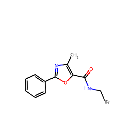 Cc1nc(-c2ccccc2)oc1C(=O)NCC(C)C